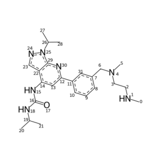 CNCCN(C)Cc1cccc(-c2cc(NC(=O)NC(C)C)c3cnn(C(C)C)c3n2)c1